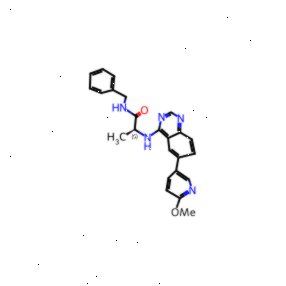 COc1ccc(-c2ccc3ncnc(N[C@@H](C)C(=O)NCc4ccccc4)c3c2)cn1